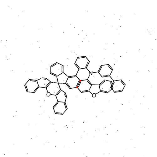 c1ccc(-c2cccc(N(c3ccccc3-c3cccc4c3-c3ccccc3C43c4ccc5ccccc5c4Oc4c3ccc3ccccc43)c3cccc4oc5ccccc5c34)c2)cc1